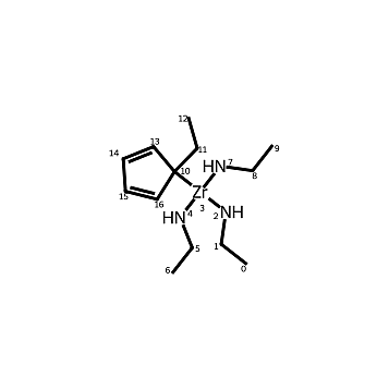 CC[NH][Zr]([NH]CC)([NH]CC)[C]1(CC)C=CC=C1